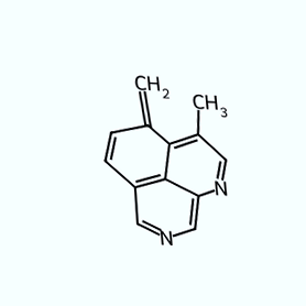 C=c1ccc2cncc3ncc(C)c1c23